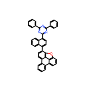 c1ccc(-c2nc(-c3ccccc3)nc(-c3ccc(-c4ccc5c6ccccc6c6cccc7oc4c5c76)c4ccccc34)n2)cc1